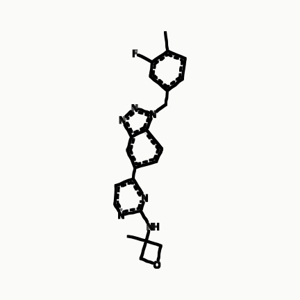 Cc1ccc(Cn2nnc3cc(-c4ccnc(NC5(C)COC5)n4)ccc32)cc1F